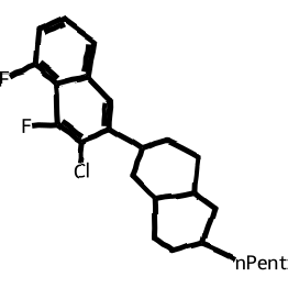 CCCCCC1CCC2CC(c3cc4cccc(F)c4c(F)c3Cl)CCC2C1